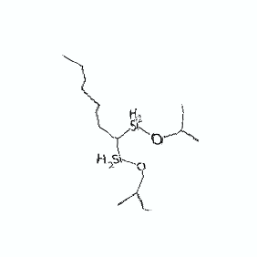 CCCCCC([SiH2]OC(C)C)[SiH2]OC(C)C